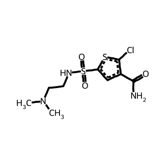 CN(C)CCNS(=O)(=O)c1cc(C(N)=O)c(Cl)s1